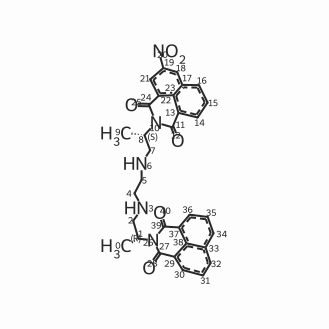 C[C@H](CNCCNC[C@H](C)N1C(=O)c2cccc3cc([N+](=O)[O-])cc(c23)C1=O)N1C(=O)c2cccc3cccc(c23)C1=O